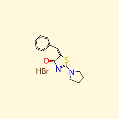 Br.O=C1N=C(N2CCCC2)SC1=Cc1ccccc1